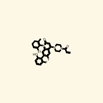 C=CC(=O)N1CCN(c2cc(=O)n(C3=C(C)CCC=C3CC)c3cc(-c4c(O)cccc4F)c(F)cc23)CC1